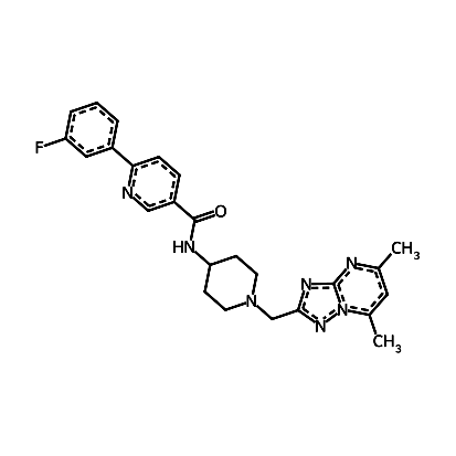 Cc1cc(C)n2nc(CN3CCC(NC(=O)c4ccc(-c5cccc(F)c5)nc4)CC3)nc2n1